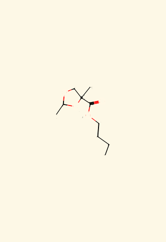 CCCCOC(=O)C1(C)CO[C](C)O1